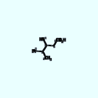 CC(C)C(C)C(S)CC(=O)O